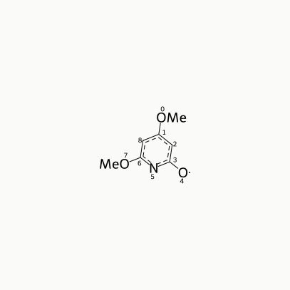 COc1cc([O])nc(OC)c1